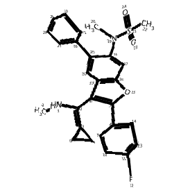 CNC(=C1CC1)c1c(-c2ccc(F)cc2)oc2cc(N(C)S(C)(=O)=O)c(-c3ccccc3)cc12